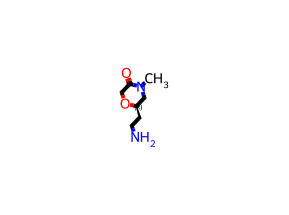 CN1C[C@@H](CCN)OCC1=O